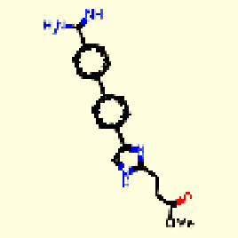 COC(=O)CCc1nc(-c2ccc(-c3ccc(C(=N)N)cc3)cc2)c[nH]1